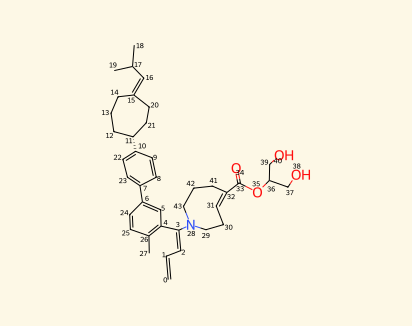 C=C/C=C(\c1cc(-c2ccc([C@@H]3CCC/C(=C\C(C)C)CC3)cc2)ccc1C)N1CC/C=C(\C(=O)OC(CO)CO)CCC1